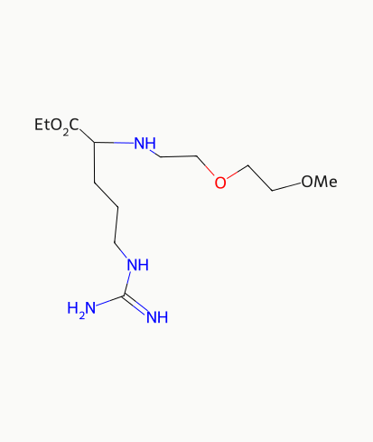 CCOC(=O)C(CCCNC(=N)N)NCCOCCOC